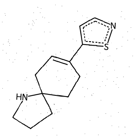 C1=C(c2ccns2)CCC2(C1)CCCN2